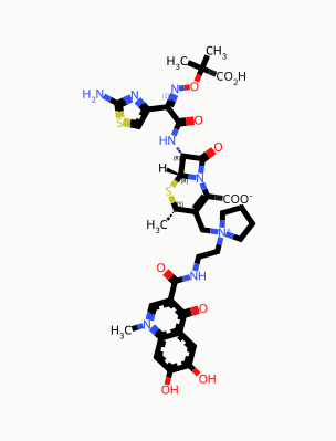 C[C@@H]1S[C@@H]2[C@H](NC(=O)/C(=N\OC(C)(C)C(=O)O)c3csc(N)n3)C(=O)N2C(C(=O)[O-])=C1C[N+]1(CCNC(=O)c2cn(C)c3cc(O)c(O)cc3c2=O)CCCC1